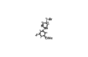 COc1cc(F)cc(-c2ncc(CBr)cn2)c1